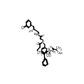 CCCC(=O)N(CCC(=O)NC[C@H](S)Cc1cccc(Cl)c1)CC1=CC=C(c2ccccc2)C(Cl)(S(=O)(=O)NC(=O)[C@H](C)O)C1